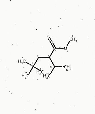 COC(=O)C(CC(C)(C)C)C(C)C